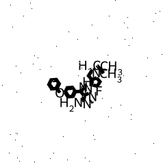 CC(C)(C)N1CC[C@H]2C1CC(F)C2n1nc(-c2ccc(Oc3ccccc3)cc2)c2c(N)ncnc21